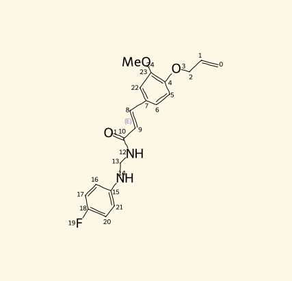 C=CCOc1ccc(/C=C/C(=O)NCNc2ccc(F)cc2)cc1OC